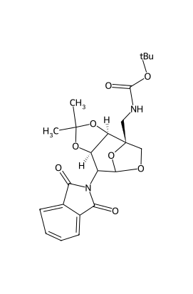 CC(C)(C)OC(=O)NC[C@@]12COC(O1)C(N1C(=O)c3ccccc3C1=O)[C@H]1OC(C)(C)O[C@H]12